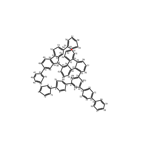 c1ccc(-c2ccc(-c3nc(-c4ccc(-c5ccccc5)cc4)nc(-c4cccc5c6ccccc6c6c(-n7c8cc(-c9ccccc9)ccc8c8ccc(-c9ccccc9)cc87)cccc6c45)n3)cc2)cc1